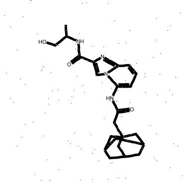 CC(CO)NC(=O)c1cn2c(NC(=O)CC34CC5CC(CC(C5)C3)C4)cccc2n1